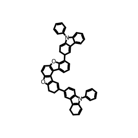 C1=Cc2c(c3cc(C4=Cc5c(oc6ccc7oc8c(C9C=c%10c(n(-c%11ccccc%11)c%11ccccc%10%11)=CC9)cccc8c7c56)CC4)ccc3n2-c2ccccc2)CC1